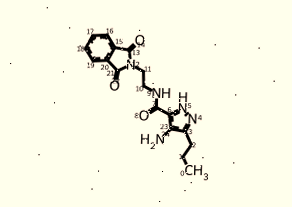 CCCc1n[nH]c(C(=O)NCCN2C(=O)c3ccccc3C2=O)c1N